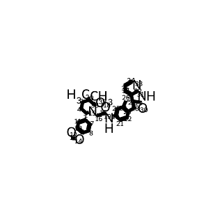 CC1(C)CC[C@@H](c2ccc3c(c2)OCO3)N(CC(=O)Nc2ccc3c(c2)C[C@@]2(C3)C(=O)Nc3ncccc32)C1=O